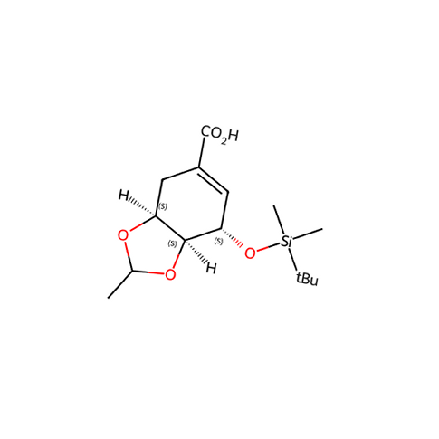 CC1O[C@@H]2[C@@H](O[Si](C)(C)C(C)(C)C)C=C(C(=O)O)C[C@@H]2O1